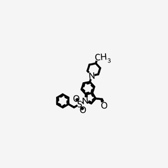 CC1CCN(c2ccc3c(c2)c(C=O)cn3S(=O)(=O)Cc2ccccc2)CC1